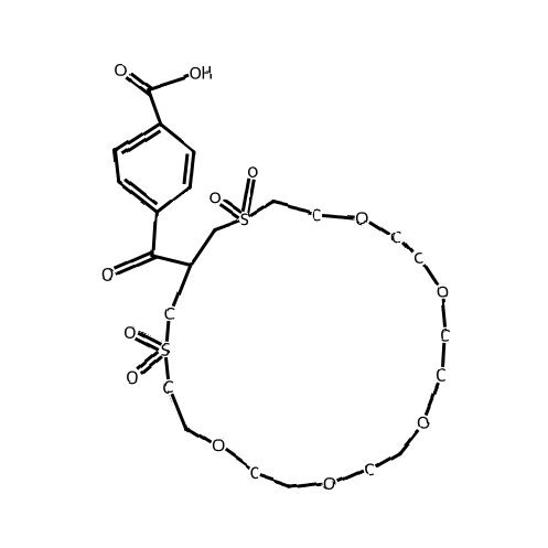 O=C(O)c1ccc(C(=O)C2CS(=O)(=O)CCOCCOCCOCCOCCOCCS(=O)(=O)C2)cc1